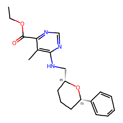 CCOC(=O)c1ncnc(NC[C@H]2CCC[C@@H](c3ccccc3)O2)c1C